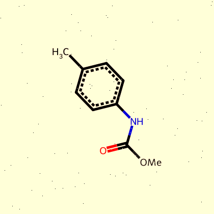 COC(=O)Nc1ccc(C)cc1